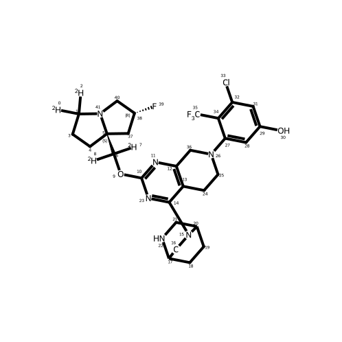 [2H]C1([2H])CC[C@@]2(C([2H])([2H])Oc3nc4c(c(N5CC6CCC5CN6)n3)CCN(c3cc(O)cc(Cl)c3C(F)(F)F)C4)C[C@@H](F)CN12